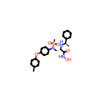 Cc1ccc(Oc2ccc(N(C[C@H](N[C@H](C)c3ccccc3)C(=O)NO)S(C)(=O)=O)cc2)cc1